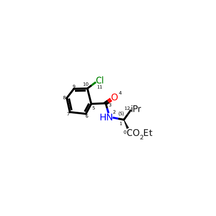 CCOC(=O)[C@@H](NC(=O)c1ccccc1Cl)C(C)C